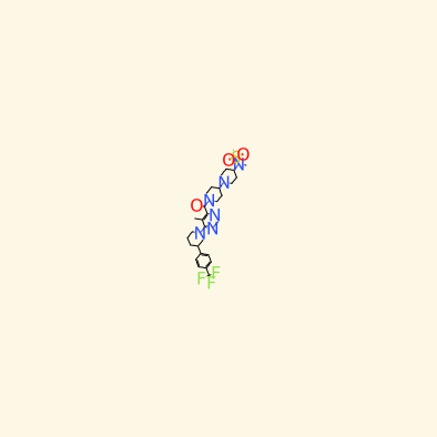 Cc1c(C(=O)N2CCC(N3CCC(N(C)S(C)(=O)=O)CC3)CC2)ncnc1N1CCCC(c2ccc(C(F)(F)F)cc2)C1